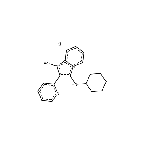 CC(=O)[n+]1c(-c2ccccn2)c(NC2CCCCC2)n2ccccc21.[Cl-]